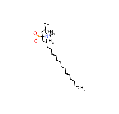 CCCCC=CCCCCC=CCCCCC(CCC)(P(=O)=O)[N+](C)(C)C